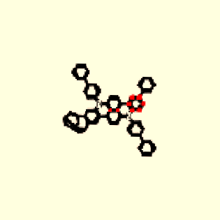 c1ccc(-c2ccc(N(c3ccc(-c4ccccc4)cc3)c3ccc(-c4cc5c(cc4N(c4ccc(-c6ccccc6)cc4)c4ccc(-c6ccccc6)cc4)C4CC6CC(CC5C6)C4)cc3)cc2)cc1